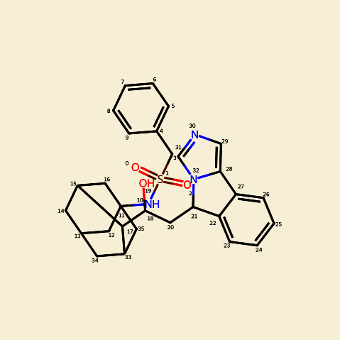 O=S(=O)(Cc1ccccc1)NC12CC3CC(C1)C(C(O)CC1c4ccccc4-c4cncn41)C(C3)C2